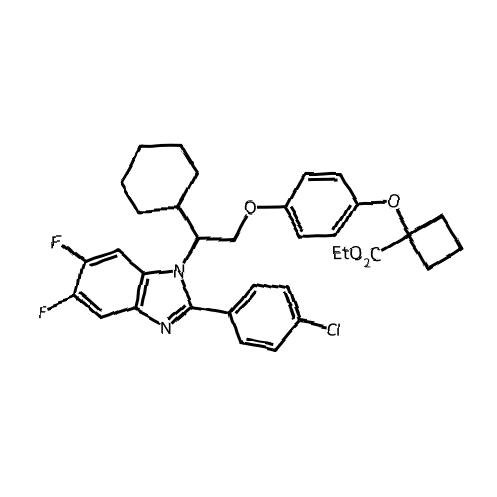 CCOC(=O)C1(Oc2ccc(OCC(C3CCCCC3)n3c(-c4ccc(Cl)cc4)nc4cc(F)c(F)cc43)cc2)CCC1